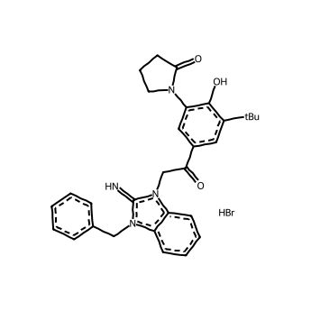 Br.CC(C)(C)c1cc(C(=O)Cn2c(=N)n(Cc3ccccc3)c3ccccc32)cc(N2CCCC2=O)c1O